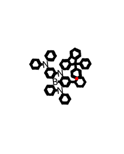 c1ccc(N(c2ccccc2)c2ccc3c(c2)N(c2ccc4c(c2)C(c2ccccc2)(c2ccccc2)c2ccccc2-4)c2cc(C4CCCCC4)cc4c2B3c2ccccc2N4c2ccccc2)cc1